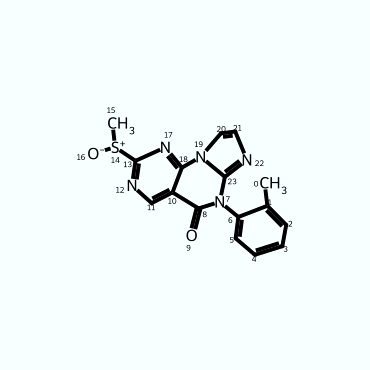 Cc1ccccc1-n1c(=O)c2cnc([S+](C)[O-])nc2n2ccnc12